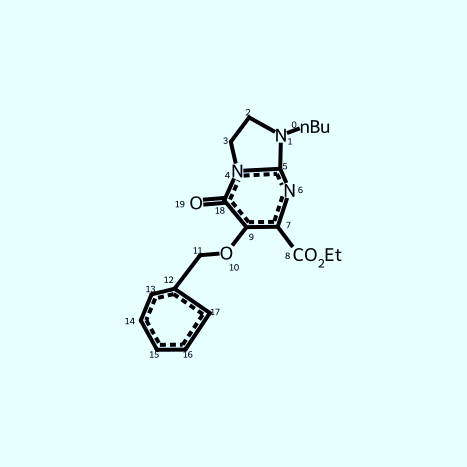 CCCCN1CCn2c1nc(C(=O)OCC)c(OCc1ccccc1)c2=O